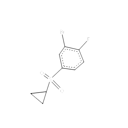 O=S(=O)(c1ccc(F)c(Br)c1)C1CC1